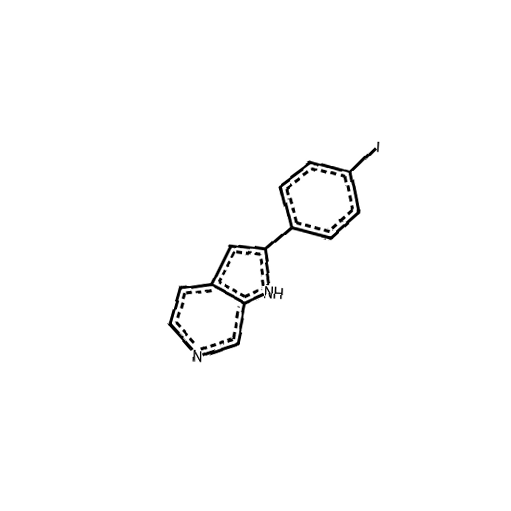 Ic1ccc(-c2cc3ccncc3[nH]2)cc1